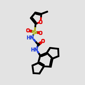 Cc1ccc(S(=O)(=O)NC(=O)Nc2c3c(cc4c2CCC4)CCC3)o1